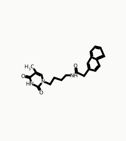 Cc1cn(CCCCNC(=O)Cc2ccc3ccccc3c2)c(=O)[nH]c1=O